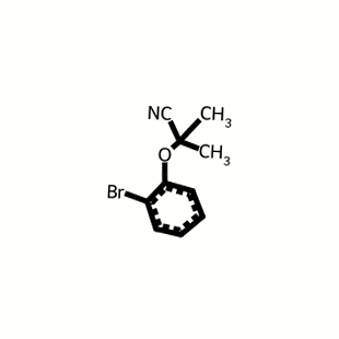 CC(C)(C#N)Oc1ccccc1Br